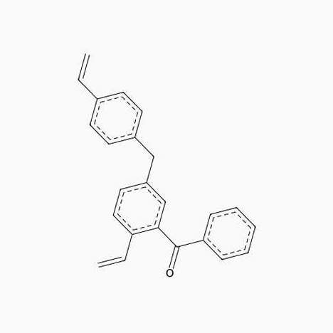 C=Cc1ccc(Cc2ccc(C=C)c(C(=O)c3ccccc3)c2)cc1